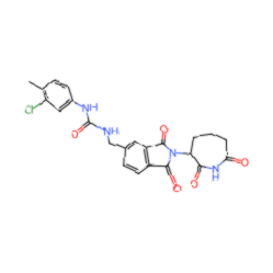 Cc1ccc(NC(=O)NCc2ccc3c(c2)C(=O)N(C2CCCC(=O)NC2=O)C3=O)cc1Cl